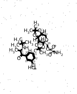 CC(NC(C)(C)C)C(=O)c1cccc(Cl)c1.CC1(C)O[C@@H]2[C@@H](CO[C@@]3(COS(N)(=O)=O)OC(C)(C)O[C@@H]23)O1.Cl